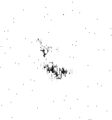 NCCSc1nc(N)cc(S/C=C/C2=C(C(=O)O)N3C(=O)[C@@H](NC(=O)/C(=N\O)c4nsc(N)n4)[C@H]3SC2)n1